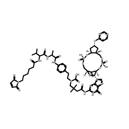 CC(NC(=O)C(NC(=O)CCCCCN1C(=O)C=CC1=O)C(C)C)C(=O)Nc1ccc(CCN(CC(C)(C)CC(=O)Nc2nc3c(ncn3[C@@H]3O[C@@H]4CO[P@@](=O)(S)O[C@H]5C[C@H](Oc6ccncn6)C[C@@H]5CO[P@@](=O)(S)O[C@@H]3[C@@H]4O)c(=O)[nH]2)C(=O)O)cc1